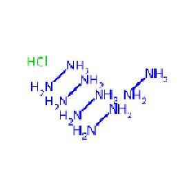 Cl.NN.NN.NN.NN.NN